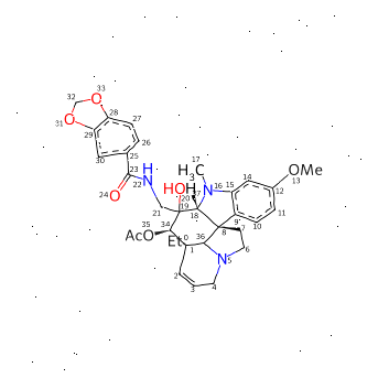 CC[C@]12C=CCN3CC[C@@]4(c5ccc(OC)cc5N(C)[C@H]4C(O)(CNC(=O)c4ccc5c(c4)OCO5)[C@@H]1OC(C)=O)C32